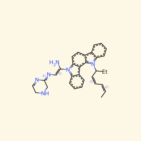 C/C=C\C=C/C(CC)n1c2ccccc2c2ccc3c(c4ccccc4n3/C(N)=C/N=C3\CNCC=N3)c21